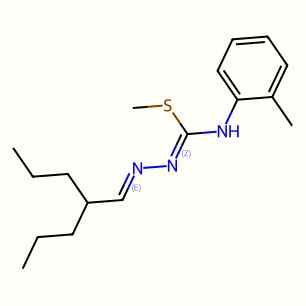 CCCC(/C=N/N=C(/Nc1ccccc1C)SC)CCC